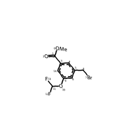 COC(=O)c1cc(CBr)cc(OC(F)F)c1